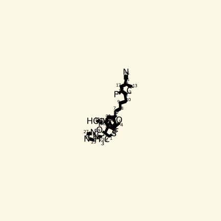 C[C@@H](S[C@H]1CO[C@H](C=CC=Cc2ccc(C#N)cc2F)OC1)[C@@](Cn1cncn1)(OP(O)O)c1ccc(F)cc1F